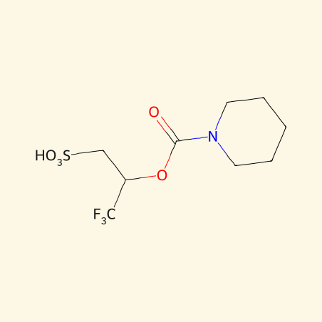 O=C(OC(CS(=O)(=O)O)C(F)(F)F)N1CCCCC1